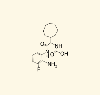 Nc1c(F)cccc1NC(=O)C(NC(=O)O)C1CCCCCCC1